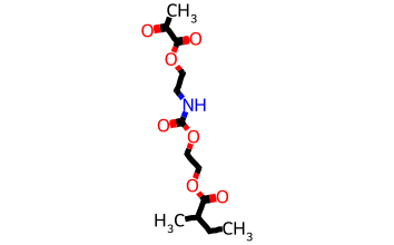 CCC(C)C(=O)OCCOC(=O)NCCOC(=O)C(C)=O